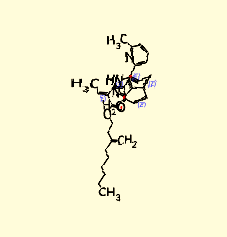 C=C(CCCCCC)CCOC(=O)C(/C=C1/C=C/C=C(c2cn[nH]c2-c2cccc(C)n2)/C=C\C1=C)=C/C